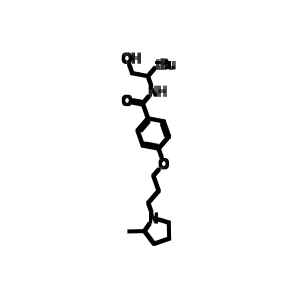 CC1CCCN1CCCOc1ccc(C(=O)NC(CO)C(C)(C)C)cc1